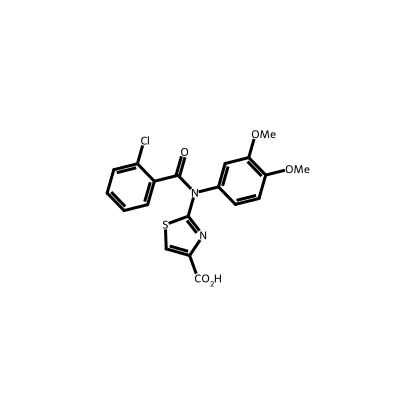 COc1ccc(N(C(=O)c2ccccc2Cl)c2nc(C(=O)O)cs2)cc1OC